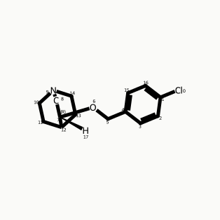 Clc1ccc(CO[C@H]2CN3CCC2CC3)cc1